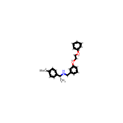 COc1ccc([C@@H](C)NCc2cccc(OCCOc3ccccc3)c2)cc1